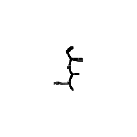 C=CC(=O)OC(C)N(C)CCC